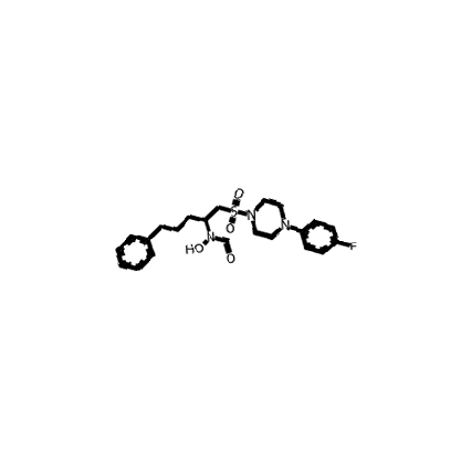 O=CN(O)C(CCCc1ccccc1)CS(=O)(=O)N1CCN(c2ccc(F)cc2)CC1